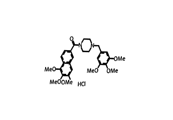 COc1cc(CN2CCN(C(=O)c3ccc4c(OC)c(OC)c(OC)cc4c3)CC2)cc(OC)c1OC.Cl